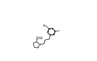 CC(=O)c1cc(C)cc(CCCN2CCC[C@H]2C=O)c1